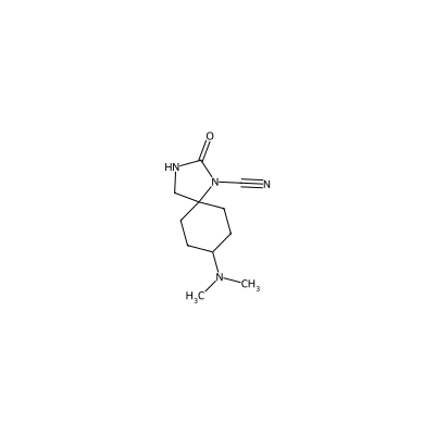 CN(C)C1CCC2(CC1)CNC(=O)N2C#N